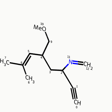 C#CC(CC(C=C(C)C)COC)N=C